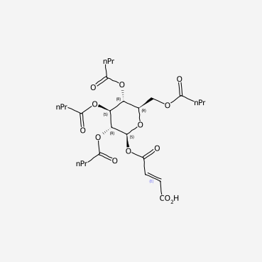 CCCC(=O)OC[C@H]1O[C@@H](OC(=O)/C=C/C(=O)O)[C@H](OC(=O)CCC)[C@@H](OC(=O)CCC)[C@@H]1OC(=O)CCC